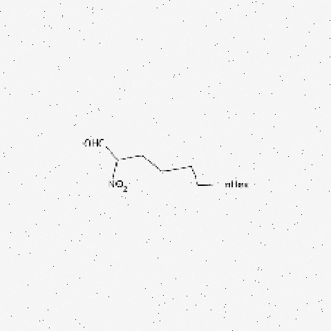 CCCCCCCCCCC([C]=O)[N+](=O)[O-]